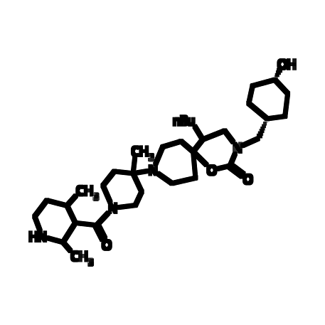 CCCCC1CN(C[C@H]2CC[C@@H](O)CC2)C(=O)OC12CCN(C1(C)CCN(C(=O)C3C(C)CCNC3C)CC1)CC2